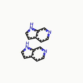 c1cc2cc[nH]c2cn1.c1cc2cc[nH]c2cn1